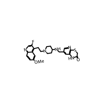 COc1ccc2ncc(F)c(CCN3CCC(NCc4cnc5c(c4)NC(=O)CS5)CC3)c2c1